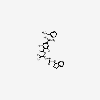 C=C(NN(C)C1=CCCC=C1)c1cc(Cl)c(C(=O)N[C@@H](CNC(=O)NC2CCc3ccccc32)C(=C)CC)c(Cl)c1